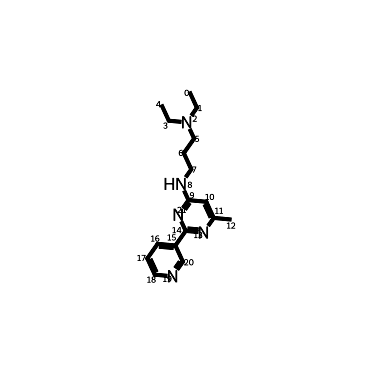 CCN(CC)CCCNc1cc(C)nc(-c2cccnc2)n1